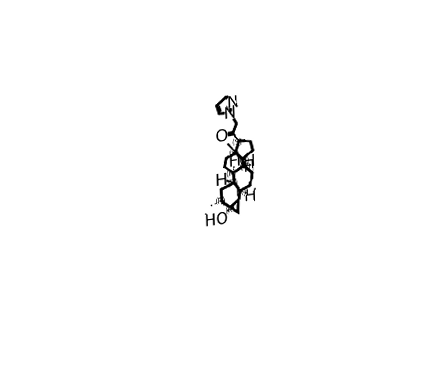 C[C@@H]1C[C@@H]2[C@H]3CC[C@]4(C)[C@@H](C(=O)Cn5cccn5)CC[C@H]4[C@@H]3CC[C@H]2C2C[C@]21O